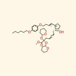 CCCCCCOc1ccc(OCC/C=C/[C@H]2CC[C@H](O)[C@@H]2CC=C=CCC(OC2CCCCO2)(OC2CCCCO2)C(=O)OC)cc1